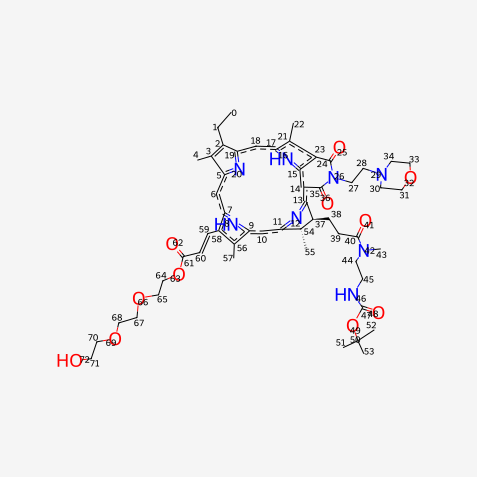 CCC1=C(C)c2cc3[nH]c(cc4nc(c5c6[nH]c(cc1n2)c(C)c6C(=O)N(CCN1CCOCC1)C5=O)[C@@H](CCC(=O)N(C)CCNC(=O)OC(C)(C)C)[C@@H]4C)c(C)c3/C=C/C(=O)OCCOCCOCCO